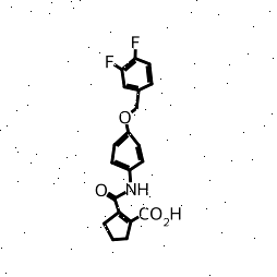 O=C(O)C1=C(C(=O)Nc2ccc(OCc3ccc(F)c(F)c3)cc2)CCC1